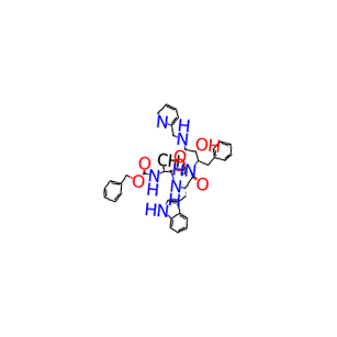 C[C@H](NC(=O)OCc1ccccc1)C(=O)N[C@@H](Cc1c[nH]c2ccccc12)C(=O)NC(Cc1ccccc1)C(O)C(=O)NCc1ccccn1